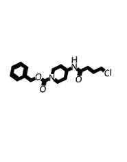 O=C(CCCCl)NC1CCN(C(=O)OCc2ccccc2)CC1